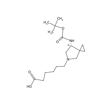 CC(C)(C)OC(=O)N[C@H]1CN(CCCCCC(=O)O)CC12CC2